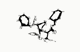 C=C(C)C(C(=O)OCc1ccccc1)N1C(=O)C(N(Oc2ccccc2)C(C)=O)C1[S+]([O-])Cl